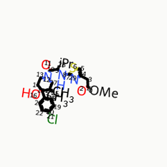 COC(=O)Cc1csc(NC(C(=O)N2CCC(O)(c3ccc(Cl)cc3)C(C)(C)C2)C(C)C)n1